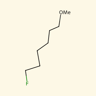 [CH2]OCCCCCCF